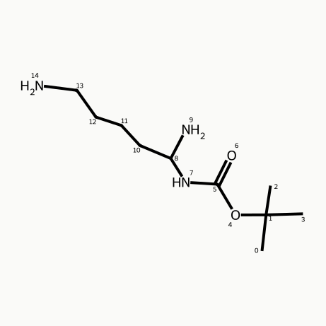 CC(C)(C)OC(=O)NC(N)CCCCN